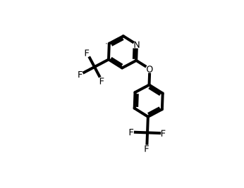 FC(F)(F)c1[c]cnc(Oc2ccc(C(F)(F)F)cc2)c1